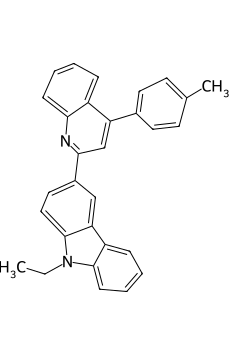 CCn1c2ccccc2c2cc(-c3cc(-c4ccc(C)cc4)c4ccccc4n3)ccc21